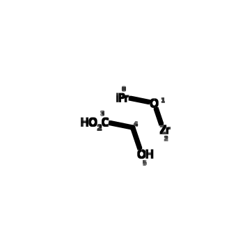 CC(C)[O][Zr].O=C(O)CO